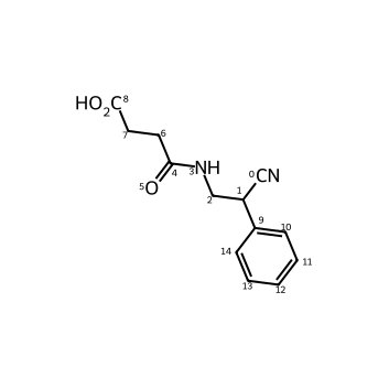 N#CC(CNC(=O)CCC(=O)O)c1ccccc1